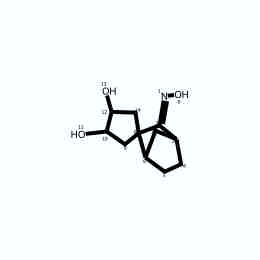 ON=C1C2CCC(C2)C12CC(O)C(O)C2